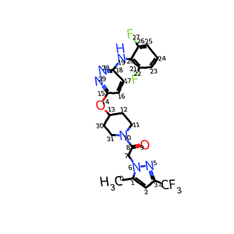 Cc1cc(C(F)(F)F)nn1CC(=O)N1CCC(Oc2ccc(Nc3c(F)cccc3F)nn2)CC1